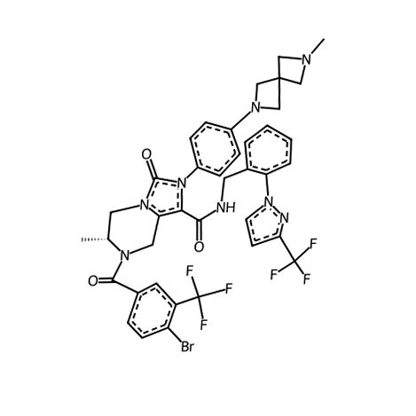 C[C@@H]1Cn2c(c(C(=O)NCc3ccccc3-n3ccc(C(F)(F)F)n3)n(-c3ccc(N4CC5(CN(C)C5)C4)cc3)c2=O)CN1C(=O)c1ccc(Br)c(C(F)(F)F)c1